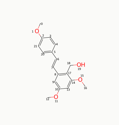 COc1ccc(C=Cc2cc(OC)cc(OC)c2CO)cc1